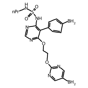 Bc1ccc(-c2c(NS(=O)(=O)NCCC)ncnc2OCCOc2ncc(B)cn2)cc1